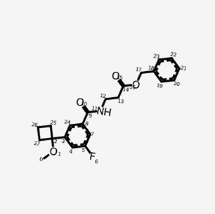 COC1(c2cc(F)cc(C(=O)NCCC(=O)OCc3ccccc3)c2)CCC1